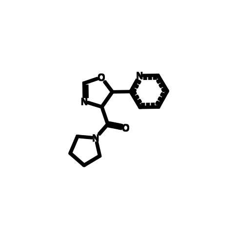 O=C(C1N=COC1c1ccccn1)N1CCCC1